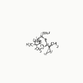 COC(C)(C)c1cc(C(C)(C)C)cc(C2(C)CC2)c1